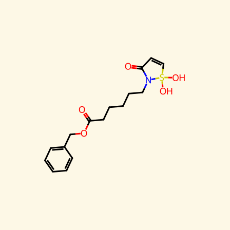 O=C(CCCCCN1C(=O)C=CS1(O)O)OCc1ccccc1